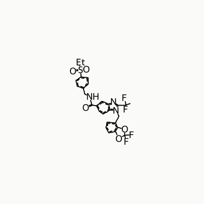 CCS(=O)(=O)c1ccc(CNC(=O)c2ccc3c(c2)nc(C(C)(F)F)n3Cc2cccc3c2OC(F)(F)O3)cc1